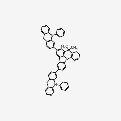 CC1(C)C2=C(C=CCC2)n2c3ccc(-c4ccc5c(c4)N(C4=CC=CCC4)c4ccccc4C5)cc3c3cc(-c4ccc5c(c4)N(c4ccccc4)c4ccccc4C5)cc1c32